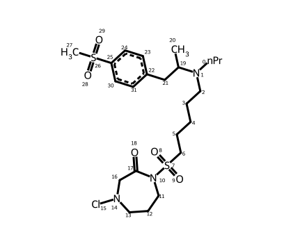 CCCN(CCCCCS(=O)(=O)N1CCCN(Cl)CC1=O)C(C)Cc1ccc(S(C)(=O)=O)cc1